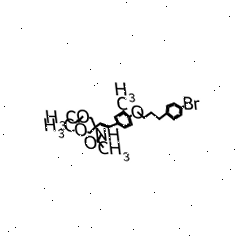 CC(=O)NC1(/C=C/c2ccc(OCCCc3ccc(Br)cc3)c(C)c2)COC(C)(C)OC1